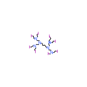 ICCN(CI)CCN(CCCCN(CCN(CCI)CCI)CCN(CCI)CCI)CCN(CCI)CCI